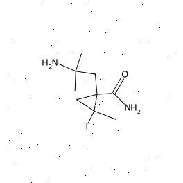 CC(C)(N)CC1(C(N)=O)CC1(C)I